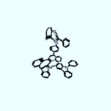 c1ccc(-c2nc3ccccc3n2-c2ccc(-c3cc4c5ccccc5c5c6ccccc6n(-c6ccc7c(c6)c6ccccc6n7-c6ccccc6)c5c4c4ccccc34)cc2)cc1